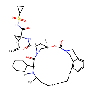 C=C[C@@H]1C[C@]1(NC(=O)[C@@H]1C[C@@H]2CN1C(=O)[C@H](C1CCCCC1)N(C)C(C)CCCCCCc1cccc3c1CN(C3)C(=O)O2)C(=O)NS(=O)(=O)C1CC1